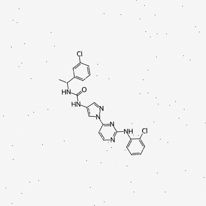 CC(NC(=O)Nc1cnn(-c2ccnc(Nc3ccccc3Cl)n2)c1)c1cccc(Cl)c1